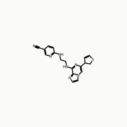 N#Cc1ccc(NCCNc2nc(C3C=CSC3)cn3ccnc23)nc1